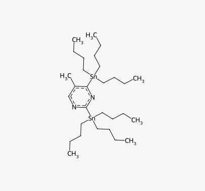 CCC[CH2][Sn]([CH2]CCC)([CH2]CCC)[c]1ncc(C)[c]([Sn]([CH2]CCC)([CH2]CCC)[CH2]CCC)n1